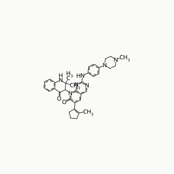 CC1=C(c2cc3cnc(Nc4ccc(N5CCN(C)CC5)cc4)nc3n(C3C(=O)c4ccccc4NC3(C)C)c2=O)CCC1